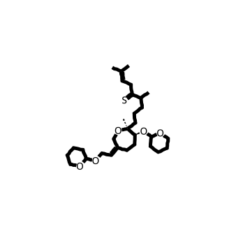 CC(C)=CCC(=S)C(C)CCC[C@]1(C)OCC(=CCOC2CCCCO2)CC[C@H]1OC1CCCCO1